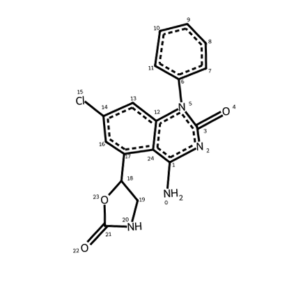 Nc1nc(=O)n(-c2ccccc2)c2cc(Cl)cc(C3CNC(=O)O3)c12